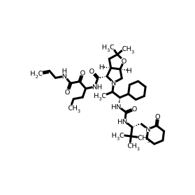 C=CCNC(=O)C(=O)C(CCC)NC(=O)[C@@H]1[C@H]2CC(C)(C)O[C@H]2CN1C(C)[C@@H](NC(=O)N[C@H](CN1CCCCC1=O)C(C)(C)C)C1CCCCC1